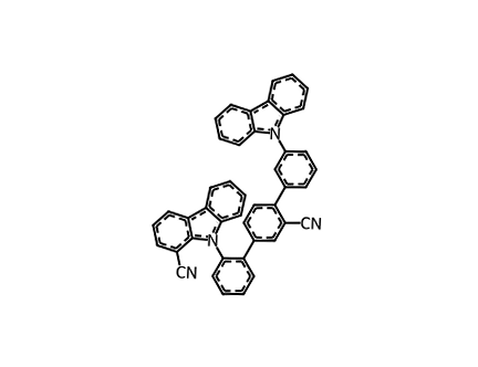 N#Cc1cc(-c2ccccc2-n2c3ccccc3c3cccc(C#N)c32)ccc1-c1cccc(-n2c3ccccc3c3ccccc32)c1